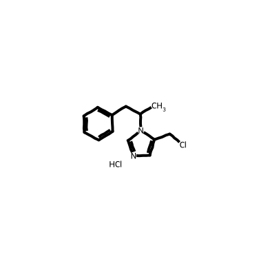 CC(Cc1ccccc1)n1cncc1CCl.Cl